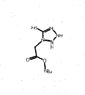 CCCCOC(=O)CN1NNN=C1S